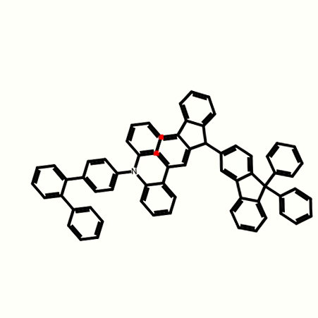 c1ccc(-c2ccccc2-c2ccc(N(c3ccccc3)c3ccccc3-c3ccc4c(c3)C(c3ccc5c(c3)-c3ccccc3C5(c3ccccc3)c3ccccc3)c3ccccc3-4)cc2)cc1